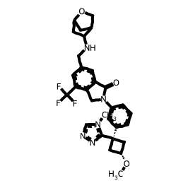 CO[C@H]1C[C@](c2cccc(N3Cc4c(cc(CNC5CC6CC5CO6)cc4C(F)(F)F)C3=O)c2)(c2nncn2C)C1